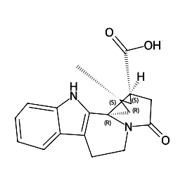 C[C@H]1C[C@@]23c4[nH]c5ccccc5c4CCN2C(=O)C[C@H]3[C@@H]1C(=O)O